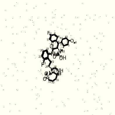 COC1CCC([C@H](c2ccc(F)cc2)[C@@H](C(=O)Nc2cccc(F)c2CC[C@H]2CN[C@@H]3CCCS(=O)(=O)N2C3)N(C)C(=O)O)CC1